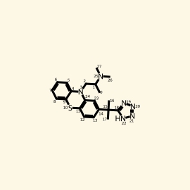 CC(CN1c2ccccc2Sc2ccc(C(C)(C)c3nnn[nH]3)cc21)N(C)C